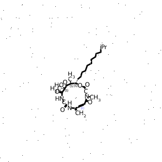 C=C1/C=C/C(=O)N(C)CC(=O)O[C@@H](CCCCCCCCCCC(C)C)[C@H](C)C(=O)[C@](C)(O)C(=O)NCC(=O)N1